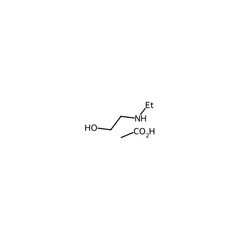 CC(=O)O.CCNCCO